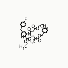 CCOC(=O)CC(=O)N(CCN(C)C(=O)OCc1ccccc1)c1cc(Cc2ccc(F)cc2)cnc1C(=O)OCC